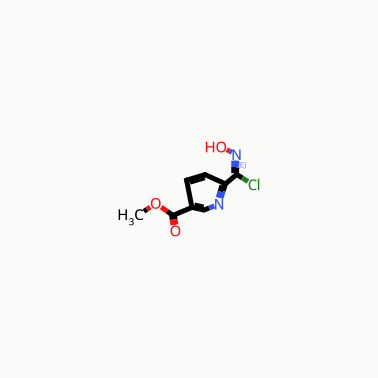 COC(=O)c1ccc(/C(Cl)=N\O)nc1